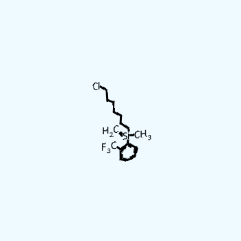 C=C[Si](C)(CCCCCCCCl)c1ccccc1C(F)(F)F